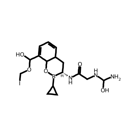 NC(O)NCC(=O)N[C@H]1CC2C=CC=C(C(O)OCI)C2OB1C1CC1